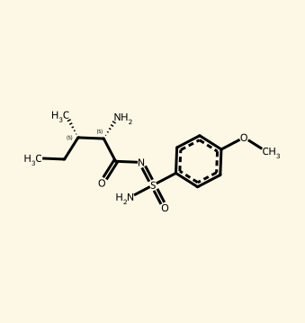 CC[C@H](C)[C@H](N)C(=O)N=S(N)(=O)c1ccc(OC)cc1